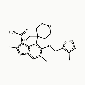 Cc1cc2oc(C)c(C(N)=O)c2c(C2(CO)CCOCC2)c1OCc1scnc1C